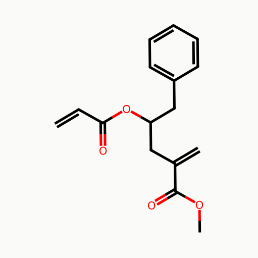 C=CC(=O)OC(CC(=C)C(=O)OC)Cc1ccccc1